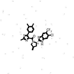 C=C1C[C@@H](c2nc3cc(C(F)(F)F)c(Cl)cc3[nH]2)N(C(=O)c2nc(C)sc2-c2ccc(C)c(C)c2)C1